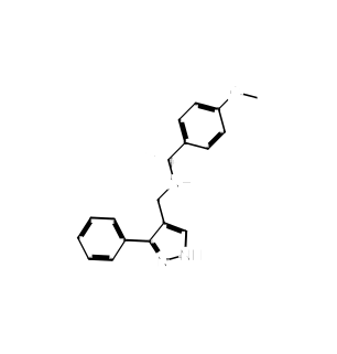 COc1ccc([C@@H](C)NCc2c[nH]nc2-c2ccccc2)cc1